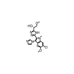 COC[C@@H](O)c1nnc(-c2c(-n3ccnc3)c3nc(OC)c(Cl)cc3n2C)[nH]1